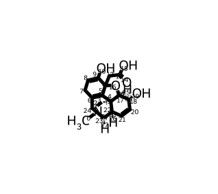 CN1CC[C@]23C4=C5CC=C(O)C4(CC(=O)O)O[C@H]2[C@@H](O)C=C[C@H]3[C@H]1C5